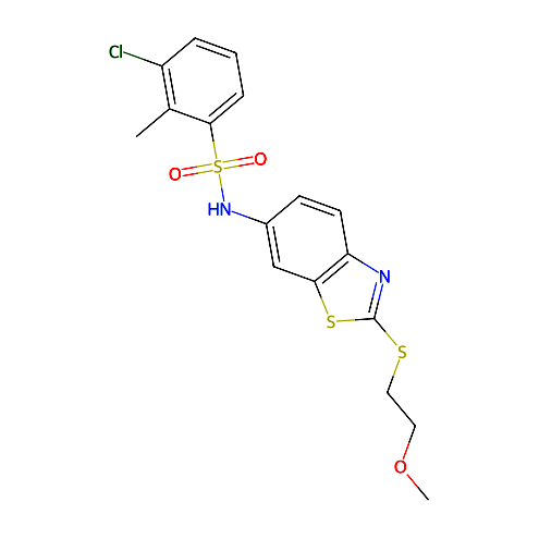 COCCSc1nc2ccc(NS(=O)(=O)c3cccc(Cl)c3C)cc2s1